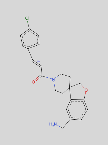 NCc1ccc2c(c1)C1(CCN(C(=O)/C=C/c3ccc(Cl)cc3)CC1)CO2